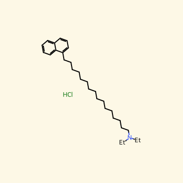 CCN(CC)CCCCCCCCCCCCCCCCc1cccc2ccccc12.Cl